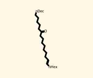 CCCCCC/C=C/CCCCCCCC(=O)CCCCCCCCCCCCCCC